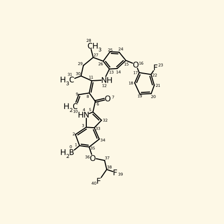 Bc1cc2[nH]c(C(=O)/C(C=C)=C3\Nc4cc(Oc5ccccc5F)ccc4C(C)CC3C)cc2cc1OCC(F)F